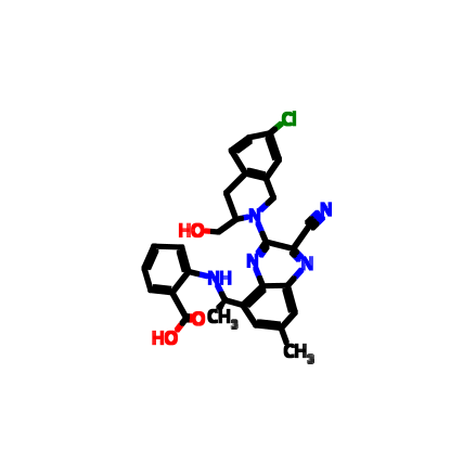 Cc1cc([C@@H](C)Nc2ccccc2C(=O)O)c2nc(N3Cc4cc(Cl)ccc4CC3CO)c(C#N)nc2c1